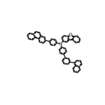 c1cc(-c2ccc(N(c3ccc(-c4ccc5c(ccc6ccccc65)c4)cc3)c3ccc4oc5ccccc5c4c3)cc2)cc(-c2cccc3ccccc23)c1